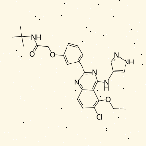 CCOc1c(Cl)ccc2nc(-c3cccc(OCC(=O)NC(C)(C)C)c3)nc(Nc3cn[nH]c3)c12